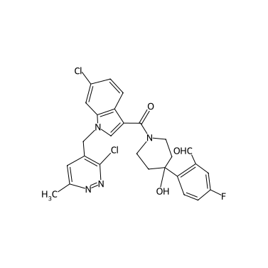 Cc1cc(Cn2cc(C(=O)N3CCC(O)(c4ccc(F)cc4C=O)CC3)c3ccc(Cl)cc32)c(Cl)nn1